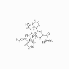 CCN(CC)C(=O)[C@@H]1C=C2c3cccc4[nH]cc(c34)C[C@H]2N(C)C1.CN(C)c1ccncc1